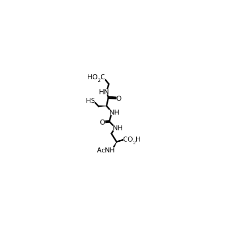 CC(=O)N[C@@H](CNC(=O)N[C@@H](CS)C(=O)NCC(=O)O)C(=O)O